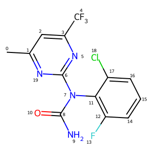 Cc1cc(C(F)(F)F)nc(N(C(N)=O)c2c(F)cccc2Cl)n1